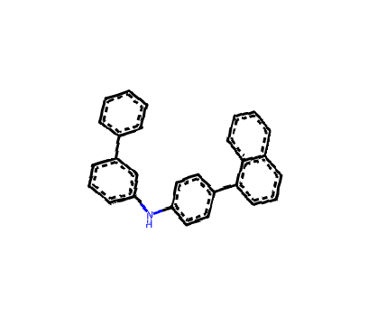 c1ccc(-c2cccc(Nc3ccc(-c4cccc5ccccc45)cc3)c2)cc1